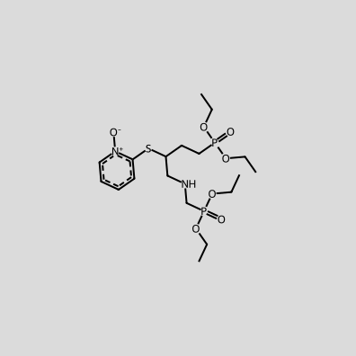 CCOP(=O)(CCC(CNCP(=O)(OCC)OCC)Sc1cccc[n+]1[O-])OCC